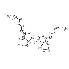 O=S(=O)(O)CCCO[n+]1ccc(Cc2cc[n+](OCCCS(=O)(=O)O)c3ccccc23)c2ccccc21